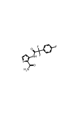 NC(=O)c1sccc1NC(=O)C(F)(F)c1ccc(F)cc1